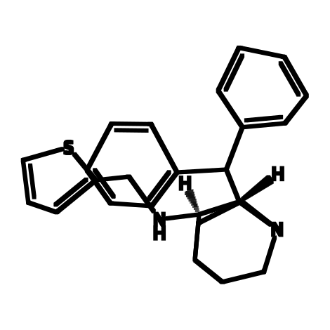 c1ccc(C(c2ccccc2)[C@H]2[C@H](NCc3cccs3)C3CCN2CC3)cc1